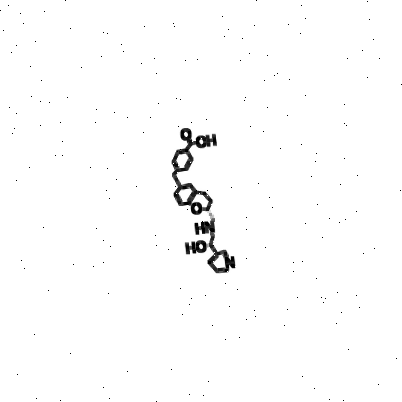 O=C(O)c1ccc(Cc2ccc3c(c2)CC[C@H](CNC[C@@H](O)c2cccnc2)O3)cc1